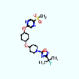 CC(C)(F)c1noc(N2CCC(O[C@H]3CC[C@H](Oc4cnc(S(C)(=O)=O)cn4)CC3)CC2)n1